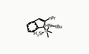 CCCC1=Cc2ccccc2[CH]1[Ti]([CH3])([CH3])([SiH3])[NH]C(C)(C)C